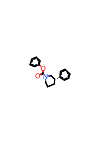 O=C(Oc1ccccc1)N1CCC[C@@H](c2ccccc2)C1